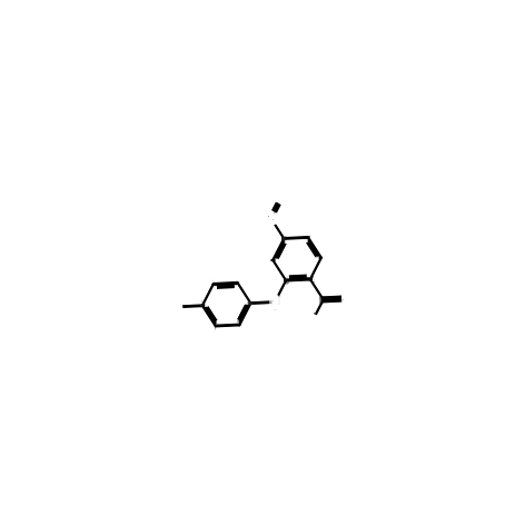 O=Nc1ccc(C(=O)O)c(Nc2ccc(F)cc2)c1